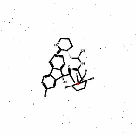 N#C[C@H](C[C@H]1CCCNC1=O)NC(=O)[C@H]1[C@@H]2CC[C@@H](CC2(F)F)N1C(=O)[C@@]1(O)c2ccccc2-c2ccc(Br)cc21